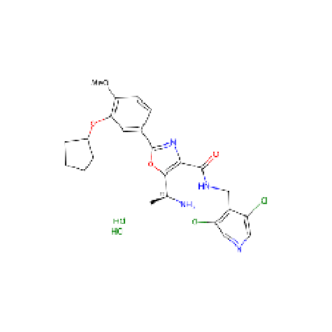 COc1ccc(-c2nc(C(=O)NCc3c(Cl)cncc3Cl)c([C@H](C)N)o2)cc1OC1CCCC1.Cl.Cl